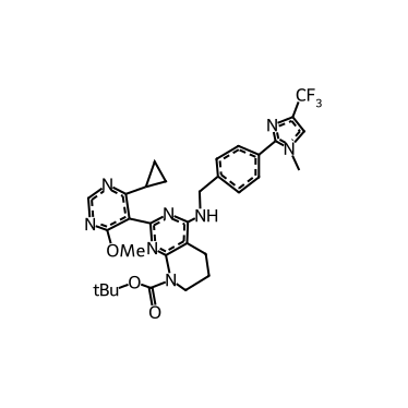 COc1ncnc(C2CC2)c1-c1nc(NCc2ccc(-c3nc(C(F)(F)F)cn3C)cc2)c2c(n1)N(C(=O)OC(C)(C)C)CCC2